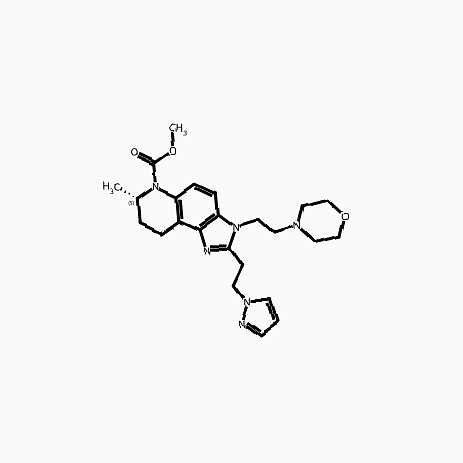 COC(=O)N1c2ccc3c(nc(CCn4cccn4)n3CCN3CCOCC3)c2CC[C@@H]1C